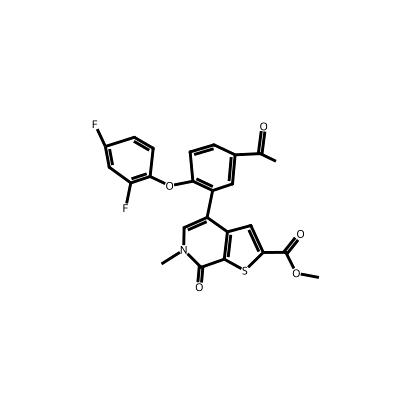 COC(=O)c1cc2c(-c3cc(C(C)=O)ccc3Oc3ccc(F)cc3F)cn(C)c(=O)c2s1